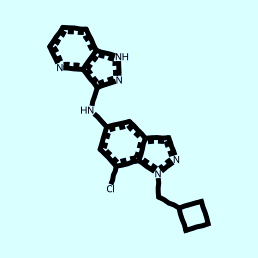 Clc1cc(Nc2n[nH]c3cccnc23)cc2cnn(CC3CCC3)c12